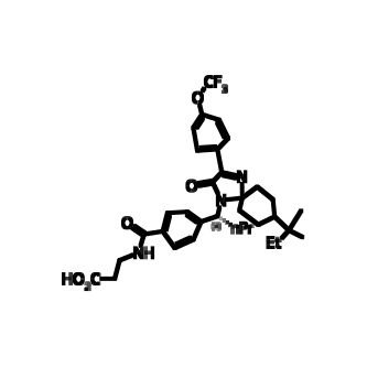 CCC[C@H](c1ccc(C(=O)NCCC(=O)O)cc1)N1C(=O)C(c2ccc(OC(F)(F)F)cc2)=NC12CCC(C(C)(C)CC)CC2